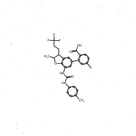 Cc1ccc(NC(=O)Nc2cc(-c3cc(F)ccc3C(=O)O)cc3c2OC(C)C3CCC(F)(F)F)cc1